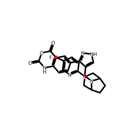 O=c1[nH]c2ccc(-c3n[nH]cc3CN3C4CCC3CN(c3ccc(C(F)(F)F)cn3)C4)cc2c(=O)o1